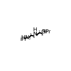 CC(C)NCCCNCCCOC(C)C